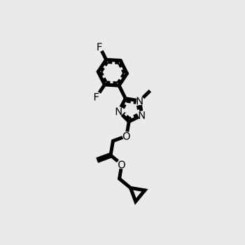 C=C(COc1nc(-c2ccc(F)cc2F)n(C)n1)OCC1CC1